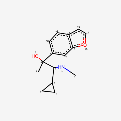 CNC(C1CC1)C(C)(O)c1ccc2ccoc2c1